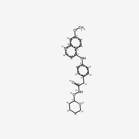 COc1ccc2c(Nc3ccc(CC(=O)NOC4CCCCO4)cc3)ccnc2c1